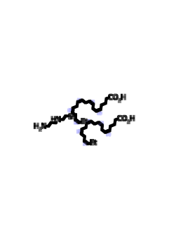 CC/C=C\C/C=C\C/C=C\C/C=C\C/C=C\CCCC(=O)O.CC/C=C\C/C=C\C/C=C\C/C=C\C/C=C\CCCC(=O)O.NCCCNCCS